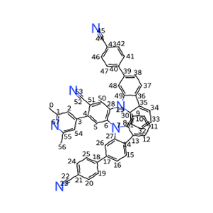 Cc1cc(-c2cc(-n3c4ccccc4c4ccc(-c5ccc(C#N)cc5)cc43)c(-n3c4ccccc4c4ccc(-c5ccc(C#N)cc5)cc43)cc2C#N)cc(C)n1